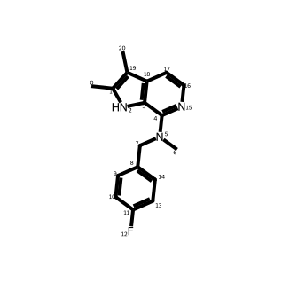 Cc1[nH]c2c(N(C)Cc3ccc(F)cc3)nccc2c1C